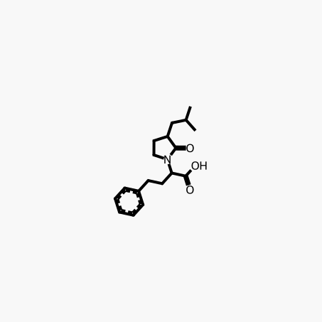 CC(C)CC1CCN(C(CCc2ccccc2)C(=O)O)C1=O